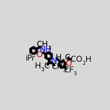 Cc1c(C)n(Cc2ccc(C(F)(F)F)c(O[C@@H](C)C(=O)O)c2)c2ccc(C(=O)N[C@@H](C)c3cccc(C(C)C)c3)cc12